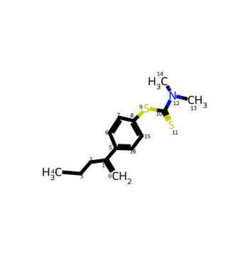 C=C(CCC)c1ccc(SC(=S)N(C)C)cc1